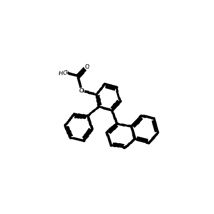 O=C(O)Oc1cccc(-c2cccc3ccccc23)c1-c1ccccc1